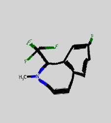 CN1CCc2ccc(F)cc2C1C(F)(F)F